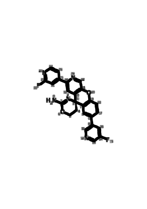 NC1=N[C@@]2(CCO1)c1cc(-c3cncc(F)c3)ccc1Oc1cnc(-c3ccnc(F)c3)cc12